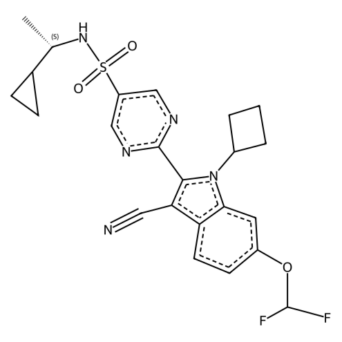 C[C@H](NS(=O)(=O)c1cnc(-c2c(C#N)c3ccc(OC(F)F)cc3n2C2CCC2)nc1)C1CC1